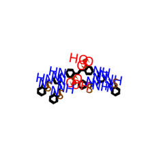 O=S(=O)(O)c1cc(Nc2nc(Nc3nc4ccccc4s3)cc(Nc3nc4ccccc4s3)n2)ccc1C=Cc1ccc(Nc2nc(Nc3nc4ccccc4s3)cc(Nc3nc4ccccc4s3)n2)cc1S(=O)(=O)O